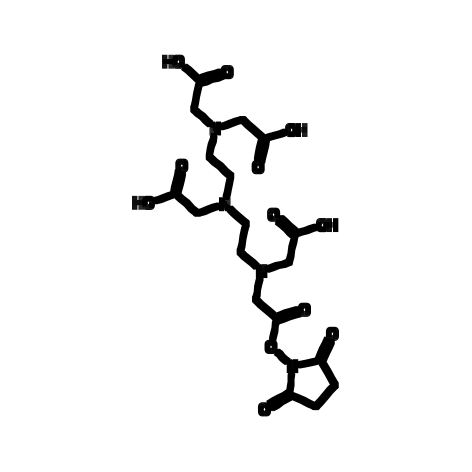 O=C(O)CN(CCN(CC(=O)O)CC(=O)O)CCN(CC(=O)O)CC(=O)ON1C(=O)CCC1=O